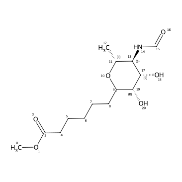 COC(=O)CCCCC[C]1O[C@H](C)[C@@H](NC=O)[C@H](O)[C@@H]1O